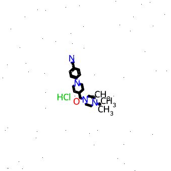 CC(C)N1CCN(C(=O)C2CCN(c3ccc(C#N)cc3)CC2)C[C@H]1C.Cl